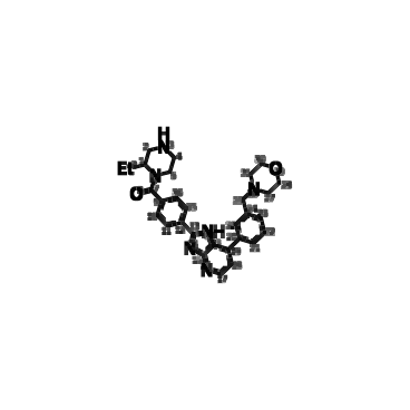 CCC1CNCCN1C(=O)c1ccc(-c2nc3nccc(-c4cccc(CN5CCOCC5)c4)c3[nH]2)cc1